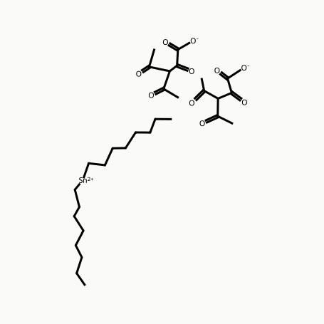 CC(=O)C(C(C)=O)C(=O)C(=O)[O-].CC(=O)C(C(C)=O)C(=O)C(=O)[O-].CCCCCCC[CH2][Sn+2][CH2]CCCCCCC